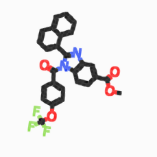 COC(=O)c1ccc2c(c1)nc(-c1cccc3ccccc13)n2C(=O)c1ccc(OC(F)(F)F)cc1